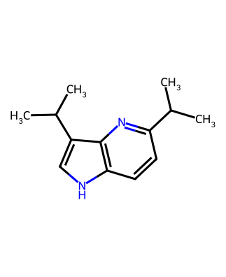 CC(C)c1ccc2[nH]cc(C(C)C)c2n1